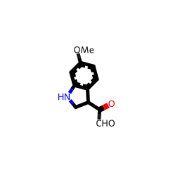 COc1ccc2c(c1)NCC2C(=O)C=O